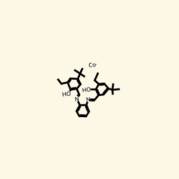 CCc1cc(C(C)(C)C)cc(C=Nc2ccccc2N=Cc2cc(C(C)(C)C)cc(CC)c2O)c1O.[Co]